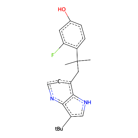 CC(C)(C)c1c[nH]c2c(CC(C)(C)c3ccc(O)cc3F)ccnc12